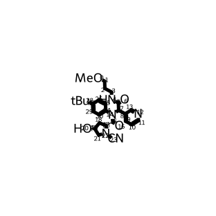 COCCCNC(=O)C(c1cccnc1)N(C(=O)[C@H]1C[C@@H](O)CN1C#N)c1ccc(C(C)(C)C)cc1